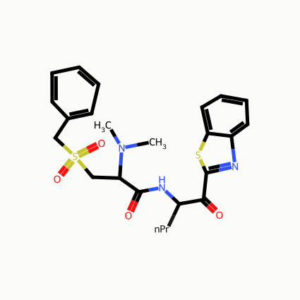 CCCC(NC(=O)C(CS(=O)(=O)Cc1ccccc1)N(C)C)C(=O)c1nc2ccccc2s1